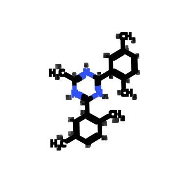 Cc1ccc(C)c(-c2nc(C)nc(-c3cc(C)ccc3C)n2)c1